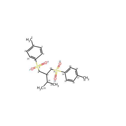 Cc1ccc(S(=O)(=O)CC(CS(=O)(=O)c2ccc(C)cc2)C(C)C)cc1